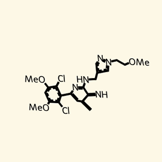 C=C1C=C(c2c(Cl)c(OC)cc(OC)c2Cl)N=C(NCc2cnn(CCOC)c2)C1=N